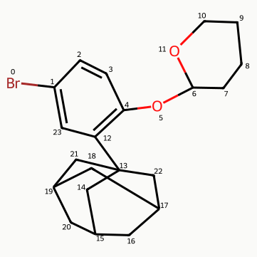 Brc1ccc(OC2CCCCO2)c(C23CC4CC(CC(C4)C2)C3)c1